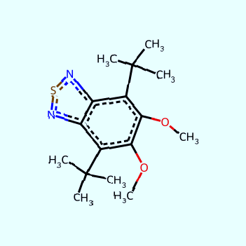 COc1c(OC)c(C(C)(C)C)c2nsnc2c1C(C)(C)C